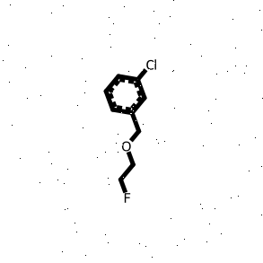 FCCOCc1cccc(Cl)c1